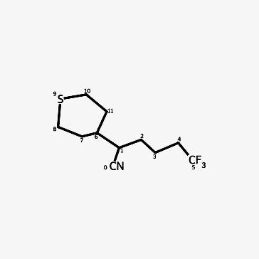 N#CC(CCCC(F)(F)F)C1CCSCC1